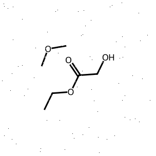 CCOC(=O)CO.COC